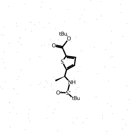 C[C@H](N[S+]([O-])C(C)(C)C)c1ccc(C(=O)OC(C)(C)C)s1